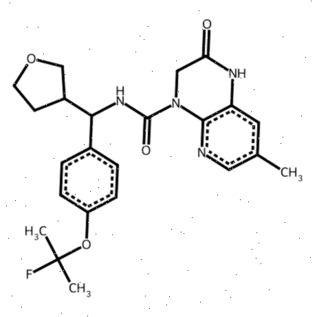 Cc1cnc2c(c1)NC(=O)CN2C(=O)NC(c1ccc(OC(C)(C)F)cc1)C1CCOC1